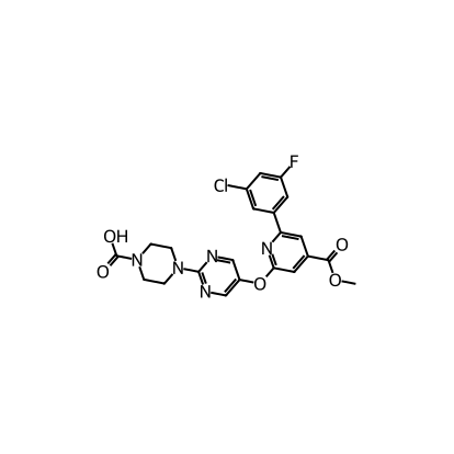 COC(=O)c1cc(Oc2cnc(N3CCN(C(=O)O)CC3)nc2)nc(-c2cc(F)cc(Cl)c2)c1